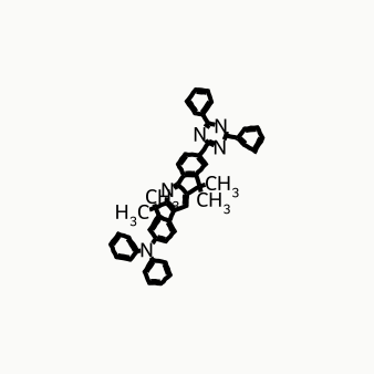 CC1(C)c2cc(-c3nc(-c4ccccc4)nc(-c4ccccc4)n3)ccc2-c2nc3c(cc21)-c1ccc(N(c2ccccc2)c2ccccc2)cc1C3(C)C